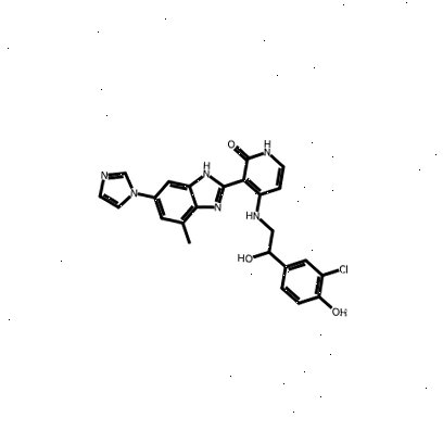 Cc1cc(-n2ccnc2)cc2[nH]c(-c3c(NCC(O)c4ccc(O)c(Cl)c4)cc[nH]c3=O)nc12